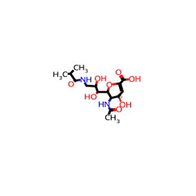 CC(=O)NC1C(C(O)C(O)CNC(=O)C(C)C)OC(C(=O)O)=C[C@H]1O